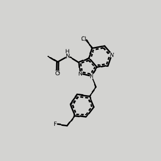 CC(=O)Nc1nn(Cc2ccc(CF)cc2)c2cncc(Cl)c12